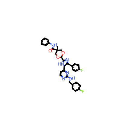 CC1(C(=O)Nc2ccccc2)COC(c2nc(-c3ccc(F)cc3)c(-c3ccnc(NCc4ccc(F)cc4)n3)[nH]2)OC1